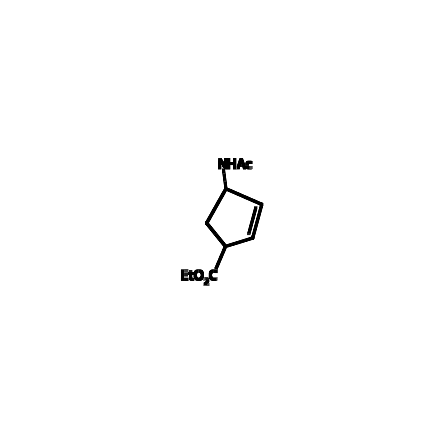 CCOC(=O)C1C=CC(NC(C)=O)C1